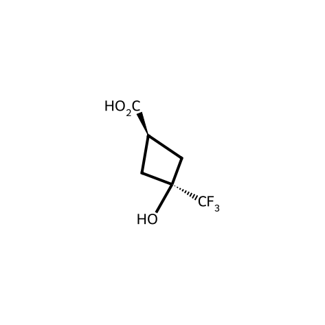 O=C(O)[C@H]1C[C@](O)(C(F)(F)F)C1